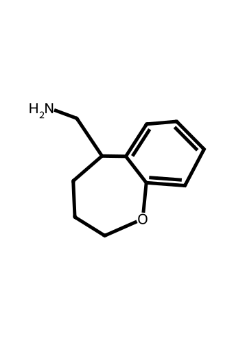 NCC1CCCOc2ccccc21